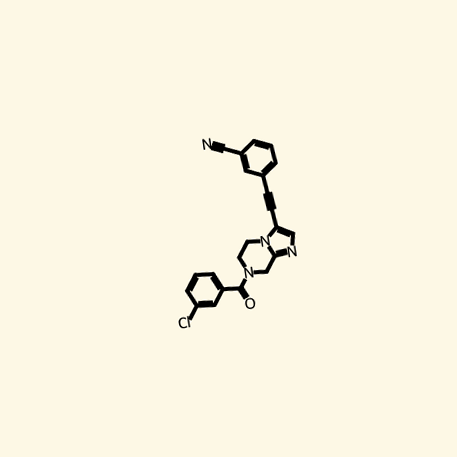 N#Cc1cccc(C#Cc2cnc3n2CCN(C(=O)c2cccc(Cl)c2)C3)c1